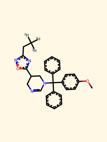 [2H]C([2H])([2H])Cc1noc(C2CN=CN(C(c3ccccc3)(c3ccccc3)c3ccc(OC)cc3)C2)n1